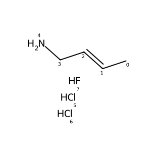 CC=CCN.Cl.Cl.F